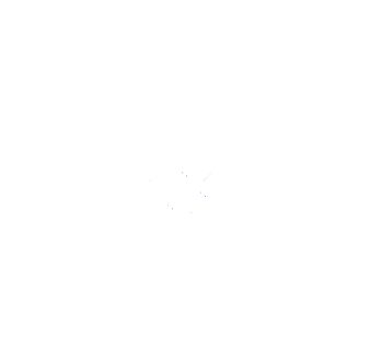 O=c1n(C2CCCC2)c(=O)n(C2CCCC2)c(=O)n1C1CCCC1